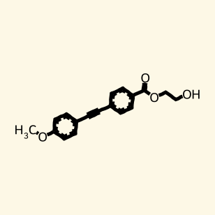 COc1ccc(C#Cc2ccc(C(=O)OCCO)cc2)cc1